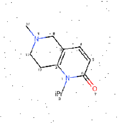 CC(C)n1c2c(ccc1=O)CN(C)CC2